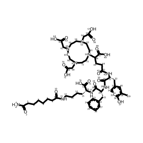 NC(=O)CCCCCCC(=O)NCCCC[C@@H](NC(=O)[C@@H](Cc1ccccc1)NC(=O)[C@@H](Cc1ccc(O)c(I)c1)NC(=O)CCC(C(=O)O)N1CCN(CC(=O)O)CCN(CC(=O)O)CCN(CC(=O)O)CC1)C(=O)O